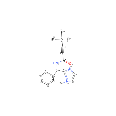 CC(C)[Si](C#CC(=O)NC(c1ccccc1)c1nccn1C)(C(C)C)C(C)C